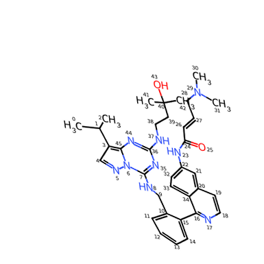 CC(C)c1cnn2c(NCc3ccccc3-c3nccc4cc(NC(=O)/C=C/CN(C)C)ccc34)nc(NCCC(C)(C)O)nc12